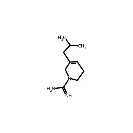 CC(C)CC1=CCCN(C(=N)N)C1